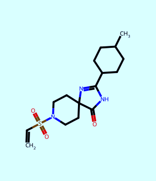 C=CS(=O)(=O)N1CCC2(CC1)N=C(C1CCC(C)CC1)NC2=O